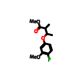 COC(=O)C(C)C(C)Oc1ccc(F)c(OC)c1